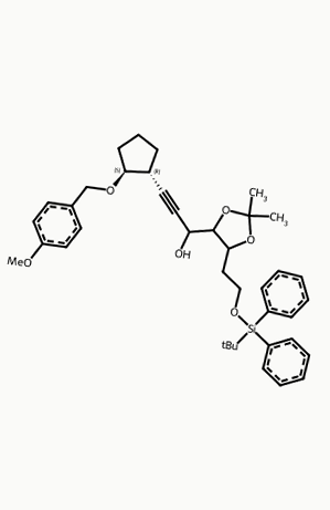 COc1ccc(CO[C@H]2CCC[C@@H]2C#CC(O)C2OC(C)(C)OC2CCO[Si](c2ccccc2)(c2ccccc2)C(C)(C)C)cc1